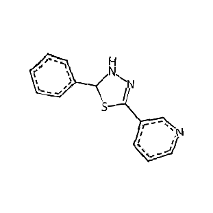 c1ccc(C2NN=C(c3cccnc3)S2)cc1